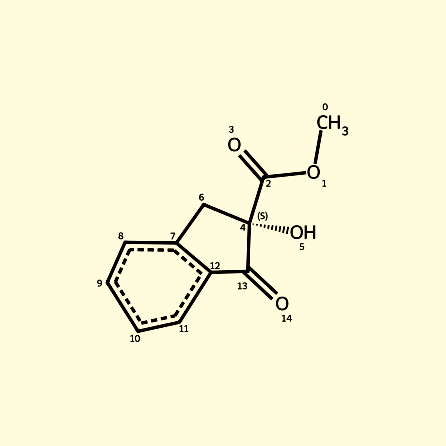 COC(=O)[C@]1(O)Cc2ccccc2C1=O